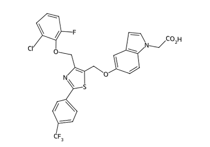 O=C(O)Cn1ccc2cc(OCc3sc(-c4ccc(C(F)(F)F)cc4)nc3COc3c(F)cccc3Cl)ccc21